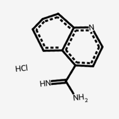 Cl.N=C(N)c1ccnc2ccccc12